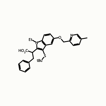 CCn1c(C(Cc2ccccc2)C(=O)O)c(SC(C)(C)C)c2cc(OCc3ccc(C)cn3)ccc21